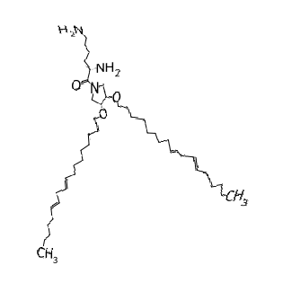 CCCCCC=CCC=CCCCCCCCCO[C@@H]1CN(C(=O)[C@@H](N)CCCCN)C[C@H]1OCCCCCCCCC=CCC=CCCCCC